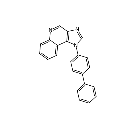 c1ccc(-c2ccc(-n3cnc4cnc5ccccc5c43)cc2)cc1